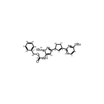 CC(C)(C)c1ccnc(C2=CC(c3cc(NC(=O)OCc4ccccc4)n(C(C)(C)C)n3)CC2)n1